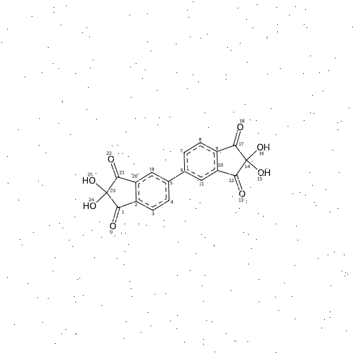 O=C1c2ccc(-c3ccc4c(c3)C(=O)C(O)(O)C4=O)cc2C(=O)C1(O)O